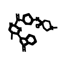 Cc1cnc(Nc2ccc(N=S3(=O)CCN(C)CC3)cc2)nc1-c1c[nH]c2ccccc12